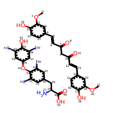 COc1cc(/C=C/C(=O)CC(=O)/C=C/c2ccc(O)c(OC)c2)ccc1O.N[C@@H](Cc1cc(I)c(Oc2cc(I)c(O)c(I)c2)c(I)c1)C(=O)O